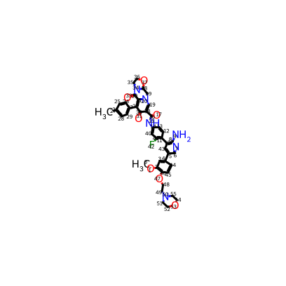 COc1cc(-c2cnc(N)c(-c3ccc(NC(=O)c4cn5c(c(-c6ccc(C)cc6)c4=O)C(=O)N4CCOC4C5)cc3F)c2)ccc1OCCN1CCOCC1